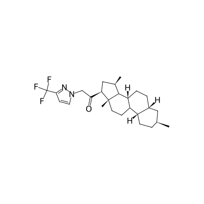 C[C@H]1CC[C@@H]2C3CC[C@@]4(C)C([C@@H]3CC[C@@H]2C1)[C@H](C)C[C@@H]4C(=O)Cn1ccc(C(F)(F)F)n1